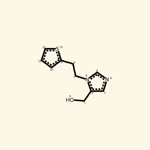 OCc1cncn1CCc1cccs1